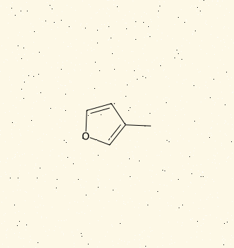 Cc1[c]coc1